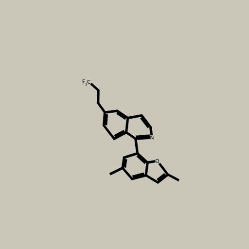 Cc1cc(-c2nccc3cc(CCC(F)(F)F)ccc23)c2oc(C)cc2c1